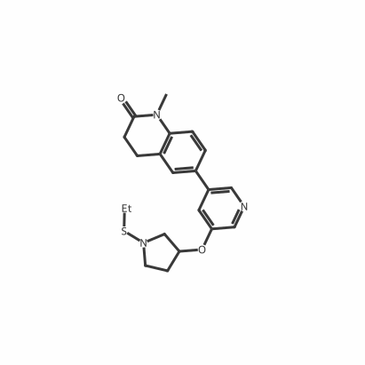 CCSN1CCC(Oc2cncc(-c3ccc4c(c3)CCC(=O)N4C)c2)C1